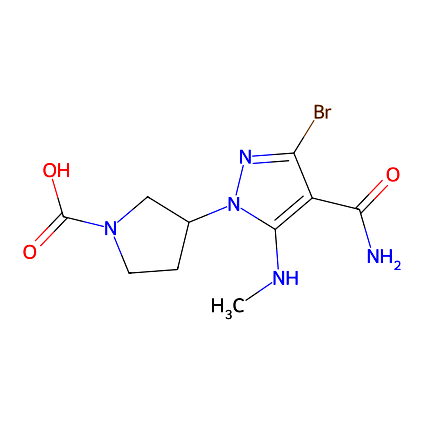 CNc1c(C(N)=O)c(Br)nn1C1CCN(C(=O)O)C1